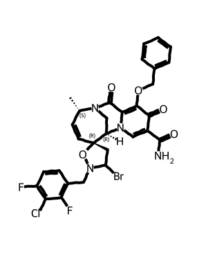 C[C@H]1C=C[C@]2(CC(Br)N(Cc3ccc(F)c(Cl)c3F)O2)[C@H]2CN1C(=O)c1c(OCc3ccccc3)c(=O)c(C(N)=O)cn12